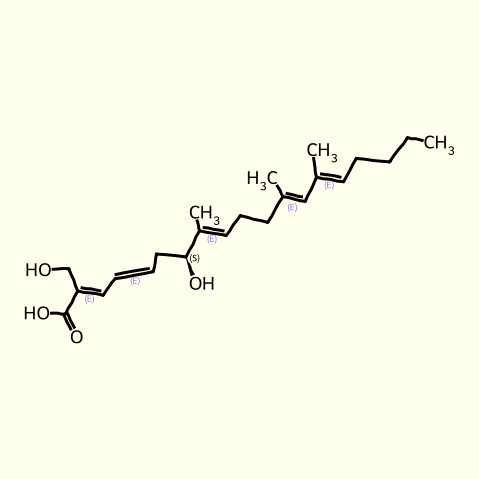 CCCC/C=C(C)/C=C(\C)CC/C=C(\C)[C@@H](O)C/C=C/C=C(\CO)C(=O)O